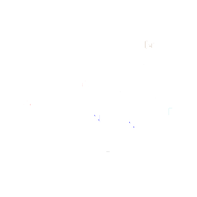 CCc1nc(OC2CCOCC2)c2cc(Br)cc(F)c2n1